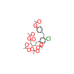 CC(=O)Oc1ccc(Cc2cc([C@@H]3OC(OC(C)=O)C(OC(C)=O)C(OC(C)=O)[C@H]3OC(C)=O)ccc2Cl)cc1